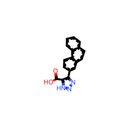 O=C(O)c1[nH]nnc1-c1ccc2c(ccc3ccccc32)c1